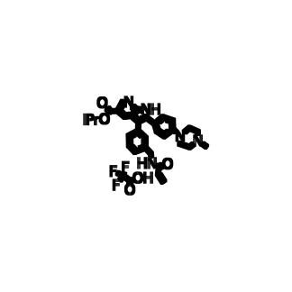 C=CC(=O)NCc1cccc(-c2c(-c3ccc(N4CCN(C)CC4)cc3)[nH]c3ncc(C(=O)OC(C)C)cc23)c1.O=C(O)C(F)(F)F